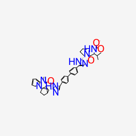 COC(=O)N[C@H](C(=O)N1CCC[C@H]1c1ncc(-c2ccc(-c3ccc(-c4cnc([C@@H]5C6CCC(C6)C5C(=O)N(C)c5ccccn5)[nH]4)cc3)cc2)[nH]1)C(C)C